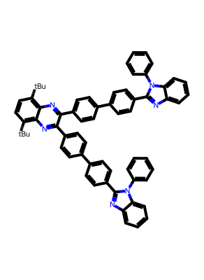 CC(C)(C)c1ccc(C(C)(C)C)c2nc(-c3ccc(-c4ccc(-c5nc6ccccc6n5-c5ccccc5)cc4)cc3)c(-c3ccc(-c4ccc(-c5nc6ccccc6n5-c5ccccc5)cc4)cc3)nc12